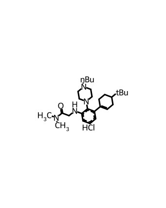 CCCCN1CCN(c2c(NCC(=O)N(C)C)cccc2C2=CCC(C(C)(C)C)CC2)CC1.Cl